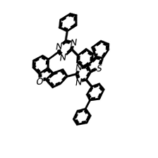 c1ccc(-c2cccc(-c3nc(-c4ccc5oc6cccc(-c7nc(-c8ccccc8)nc(-c8ccccc8)n7)c6c5c4)nc4c3sc3ccccc34)c2)cc1